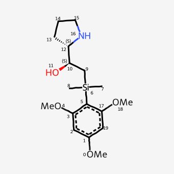 COc1cc(OC)c([Si](C)(C)C[C@@H](O)[C@@H]2CCCN2)c(OC)c1